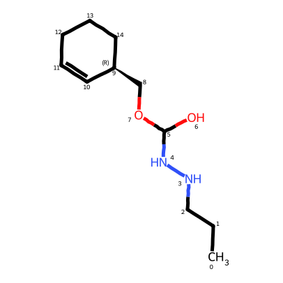 CCCNNC(O)OC[C@H]1C=CCCC1